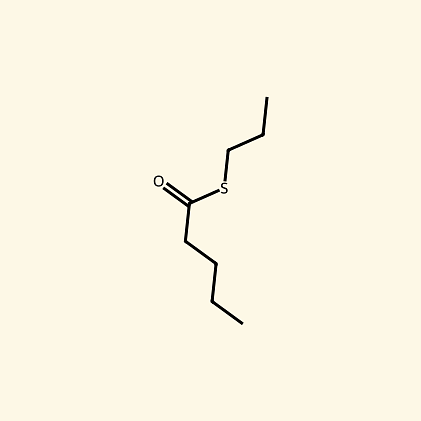 CCCCC(=O)SCCC